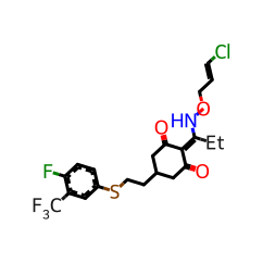 CCC(NOC/C=C/Cl)=C1C(=O)CC(CCSc2ccc(F)c(C(F)(F)F)c2)CC1=O